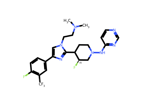 CN(C)CCn1cc(-c2ccc(F)c(C(F)(F)F)c2)nc1C1CCN(Nc2ccncn2)C[C@H]1F